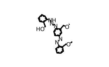 COCc1cc(N=Nc2ccccc2COC)ccc1N=NNc1ccccc1CO